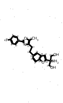 Cc1oc(-c2ccc(F)cc2)nc1CCc1ccc2oc(C(N)(CO)CO)cc2c1